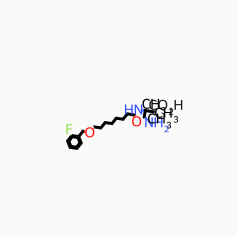 CC(CN)(NC(=O)CCCCCCCOCc1ccccc1F)C(C)(C)C(=O)O